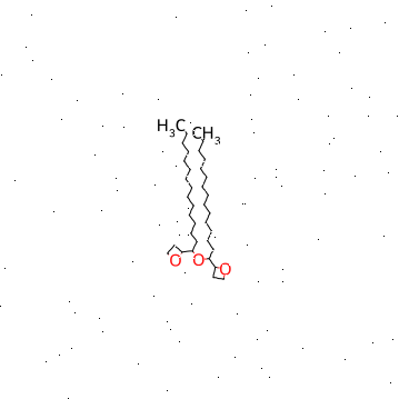 CCCCCCCCCCCCCCC(OC(CCCCCCCCCCCCCC)C1CCO1)C1CCO1